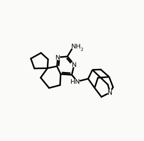 Nc1nc(NC2C3CC4CC2CN(C4)C3)c2c(n1)C1(CCCC1)CCC2